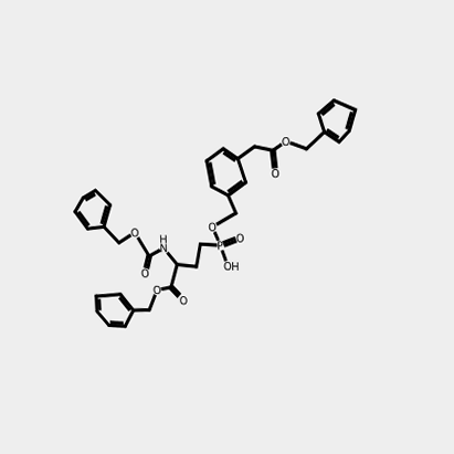 O=C(Cc1cccc(COP(=O)(O)CCC(NC(=O)OCc2ccccc2)C(=O)OCc2ccccc2)c1)OCc1ccccc1